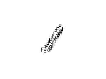 CC(C(F)(F)F)C(F)(F)C(F)(F)C(F)(F)C(F)(F)C(F)(F)C(F)(F)C(F)(F)C(F)(F)C(F)(F)[C](F)F